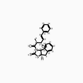 C[C@H](C(=O)N1C(=S)S[C@@H]2Cc3ccccc3C21)[C@@H](O)/C=C/c1ccccc1